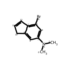 CN(C)c1cc(Br)c2c(c1)CC=C2